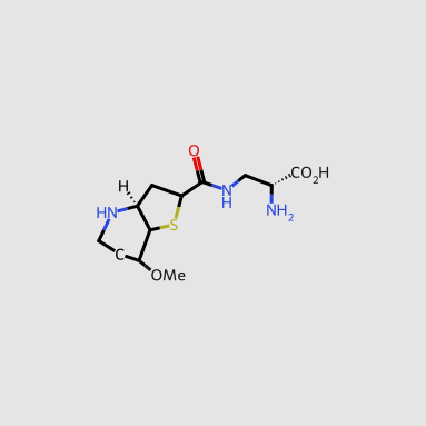 COC1CCN[C@H]2CC(C(=O)NC[C@@H](N)C(=O)O)SC12